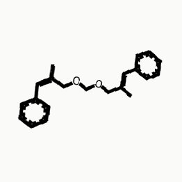 CC(=Cc1ccccc1)COCOCC(C)=Cc1ccccc1